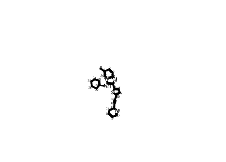 Cc1ccc2nc(-c3ccc(C#Cc4ccccn4)s3)c(NC3CCCCC3)n2c1